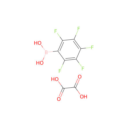 O=C(O)C(=O)O.OB(O)c1c(F)c(F)c(F)c(F)c1F